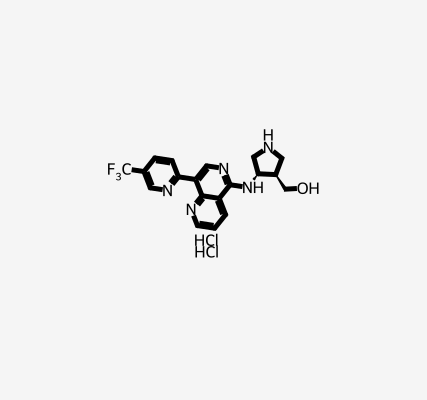 Cl.Cl.OC[C@@H]1CNC[C@H]1Nc1ncc(-c2ccc(C(F)(F)F)cn2)c2ncccc12